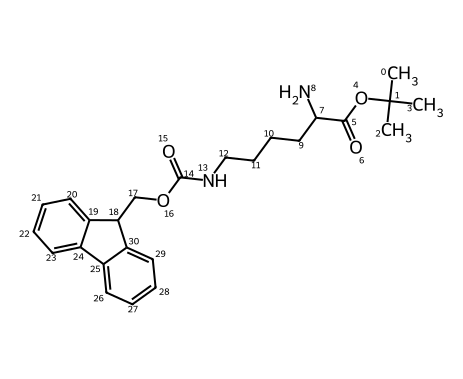 CC(C)(C)OC(=O)C(N)CCCCNC(=O)OCC1c2ccccc2-c2ccccc21